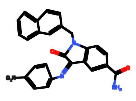 NC(=O)c1ccc2c(c1)/C(=N/c1ccc([N+](=O)[O-])cc1)C(=O)N2Cc1ccc2ccccc2c1